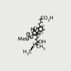 CC#CC[C@H](C)[C@H](O)/C=C/[C@@H]1[C@H]2c3cccc(CCCC(=O)O)c3O[C@H]2C[C@H]1OC(=O)OC